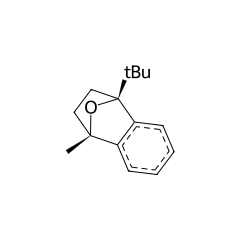 CC(C)(C)[C@]12CC[C@](C)(O1)c1ccccc12